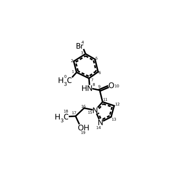 Cc1cc(Br)ccc1NC(=O)c1ccnn1CC(C)O